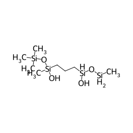 C[SiH2]O[SiH](O)CCC[Si](C)(O)O[Si](C)(C)C